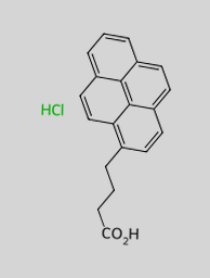 Cl.O=C(O)CCCc1ccc2ccc3cccc4ccc1c2c34